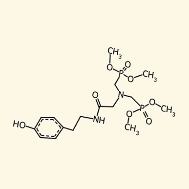 COP(=O)(CN(CC(=O)NCCc1ccc(O)cc1)CP(=O)(OC)OC)OC